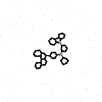 c1ccc(N(c2ccc(-c3cc4ccccc4c4c3ccc3ccccc34)cc2)c2cccc(-n3c4ccccc4c4ccccc43)c2)cc1